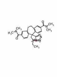 CC[C@H](N)CC1(c2nnn[nH]2)c2ccc(C(=O)N(C)C)cc2CCc2cc(C(=O)N(C)C)ccc21